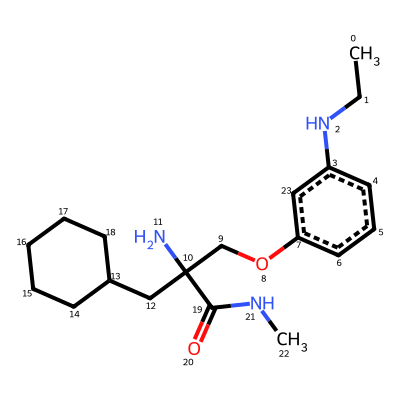 CCNc1cccc(OCC(N)(CC2CCCCC2)C(=O)NC)c1